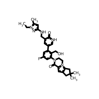 CCn1nc(NCc2cc(-c3cc(F)cc(N4CCn5c(cc6c5CC(C)(C)C6)C4=O)c3CO)c[nH]c2=O)cc1C